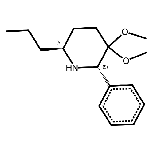 CCC[C@H]1CCC(OC)(OC)[C@H](c2ccccc2)N1